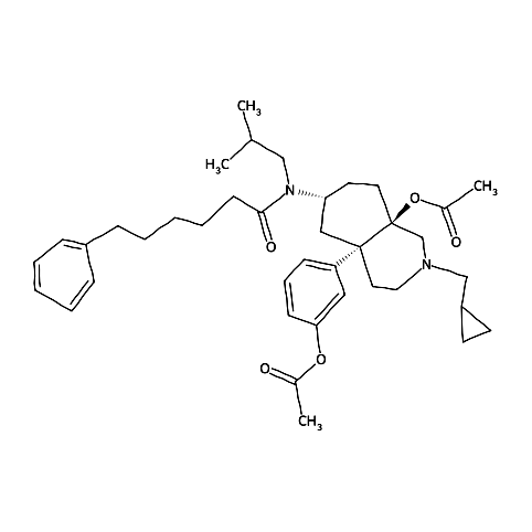 CC(=O)Oc1cccc([C@@]23CCN(CC4CC4)C[C@@]2(OC(C)=O)CC[C@@H](N(CC(C)C)C(=O)CCCCCc2ccccc2)C3)c1